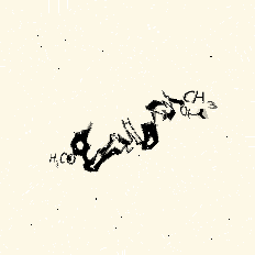 COc1ccccc1-c1ccc2cnc(Nc3cccc(N4CCN([C@@H](I)C(C)O)CC4)c3)nn12